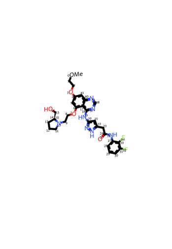 COCCOc1cc(OCCN2CCC[C@H]2CO)c2c(Nc3cc(CC(=O)Nc4cccc(F)c4F)[nH]n3)ncnc2c1